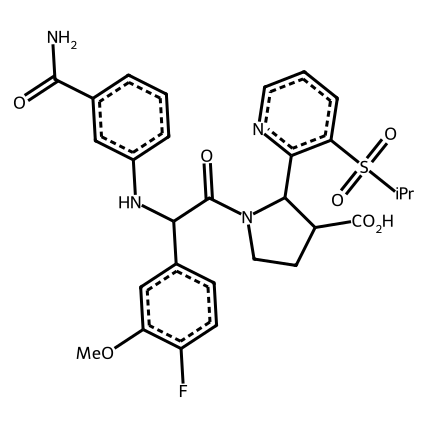 COc1cc(C(Nc2cccc(C(N)=O)c2)C(=O)N2CCC(C(=O)O)C2c2ncccc2S(=O)(=O)C(C)C)ccc1F